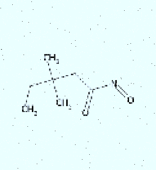 CCC(C)(C)CC(=O)N=O